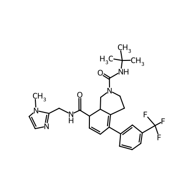 Cn1ccnc1CNC(=O)C1C=CC(c2cccc(C(F)(F)F)c2)=C2CCN(C(=O)NC(C)(C)C)CC21